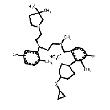 Cc1ccc(Cl)cc1[C@@H](CCN1CCC(C)(C)C1)CCN(C)[C@@H](C(=O)O)c1ccc(F)c(C)c1C1CCC(OC2CC2)CC1